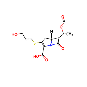 C[C@@H](OC=O)[C@H]1C(=O)N2C(C(=O)O)=C(SC=CCO)C[C@H]12